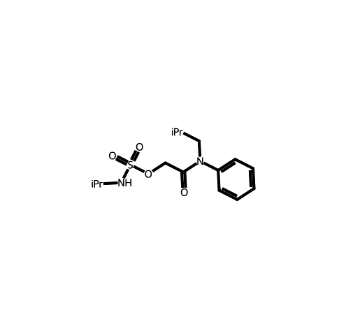 CC(C)CN(C(=O)COS(=O)(=O)NC(C)C)c1ccccc1